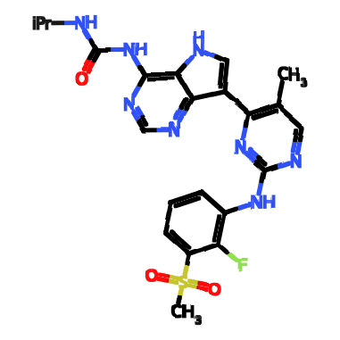 Cc1cnc(Nc2cccc(S(C)(=O)=O)c2F)nc1-c1c[nH]c2c(NC(=O)NC(C)C)ncnc12